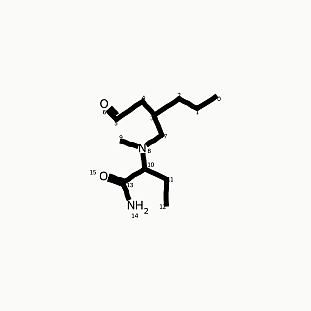 CCCC(CC=O)CN(C)C(CC)C(N)=O